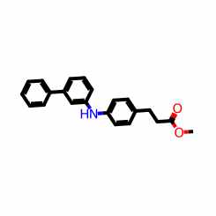 COC(=O)CCc1ccc(Nc2cccc(-c3ccccc3)c2)cc1